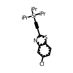 CC(C)[Si](C#Cc1nc2cc(Cl)ccc2s1)(C(C)C)C(C)C